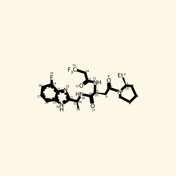 CC[C@H]1CCCCN1C(=O)C[C@H](NC(=O)CC(F)(F)F)C(=O)N[C@@H](C)c1nc2c(F)cccc2[nH]1